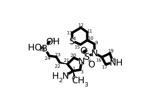 C[C@]1(N)CN(S(=O)(=O)N(CC2CCCSC2)C2CNC2)C[C@@H]1CCCB(O)O